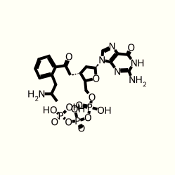 CC(N)Cc1ccccc1C(=O)C[C@@H]1C[C@H](n2cnc3c(=O)[nH]c(N)nc32)OC1COP(=O)(O)OP(=O)(O)OP(=O)(O)O